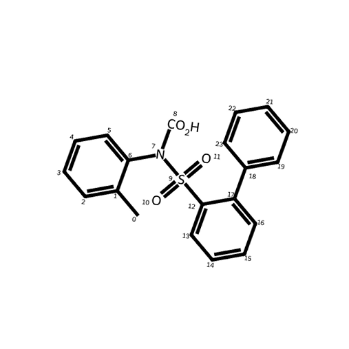 Cc1ccccc1N(C(=O)O)S(=O)(=O)c1ccccc1-c1ccccc1